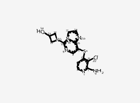 Nc1nccc(Sc2cnc(N3CC(O)C3)n3ccnc23)c1Cl